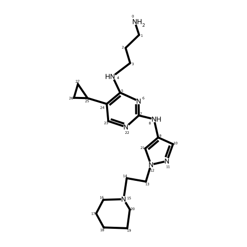 NCCCNc1nc(Nc2cnn(CCN3CCCCC3)c2)ncc1C1CC1